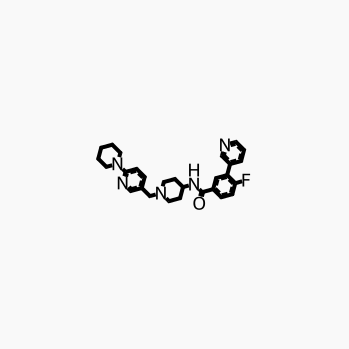 O=C(NC1CCN(Cc2ccc(N3CCCCC3)nc2)CC1)c1ccc(F)c(-c2cccnc2)c1